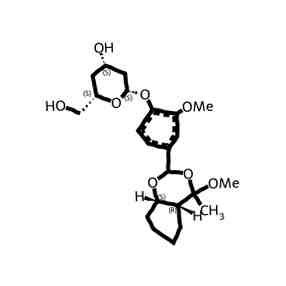 COc1cc(C2O[C@H]3CCCC[C@H]3C(C)(OC)O2)ccc1O[C@H]1C[C@@H](O)C[C@@H](CO)O1